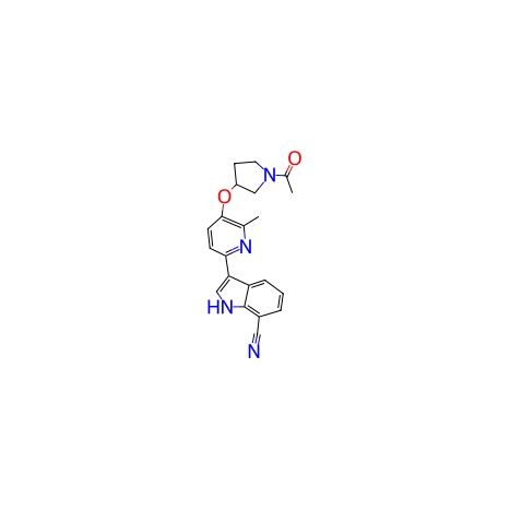 CC(=O)N1CCC(Oc2ccc(-c3c[nH]c4c(C#N)cccc34)nc2C)C1